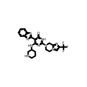 O=c1[nH]c(N2CCn3cc(C(F)(F)F)nc3C2)nc(NC2CCCNC2)c1-c1nc2ccccc2s1